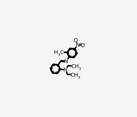 CCN(CC)c1ccccc1C=Nc1ccc([N+](=O)[O-])cc1C